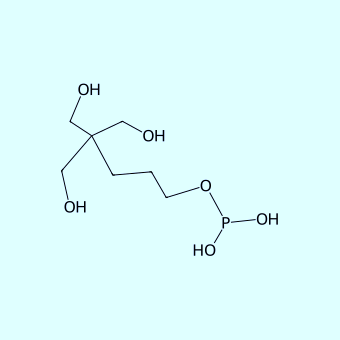 OCC(CO)(CO)CCCOP(O)O